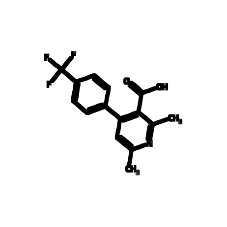 Cc1cc(-c2ccc(C(F)(F)F)cc2)c(C(=O)O)c(C)n1